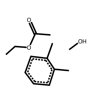 CCOC(C)=O.CO.Cc1ccccc1C